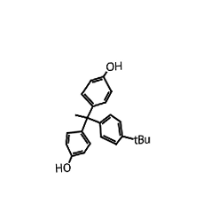 CC(C)(C)c1ccc(C(C)(c2ccc(O)cc2)c2ccc(O)cc2)cc1